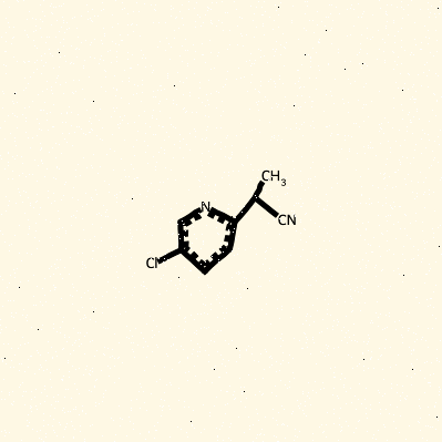 CC(C#N)c1ccc(Cl)cn1